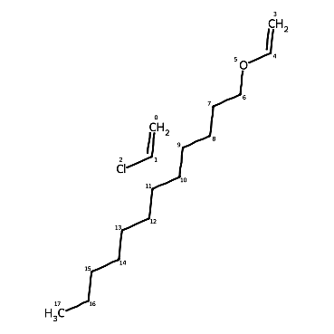 C=CCl.C=COCCCCCCCCCCCC